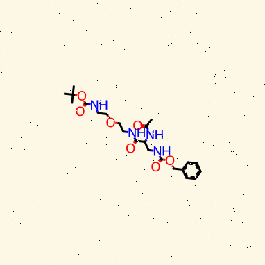 CC(=O)NC(CNC(=O)OCc1ccccc1)C(=O)NCCOCCNC(=O)OC(C)(C)C